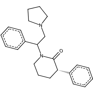 O=C1[C@H](c2ccccc2)CCCN1C(CN1CCCC1)c1ccccc1